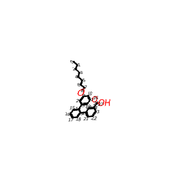 CCCCCCCCOc1cccc(-c2ccccc2-c2cccc(C(=O)O)c2)c1